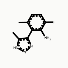 Cc1ccc(F)c(N)c1-c1nn[nH]c1C